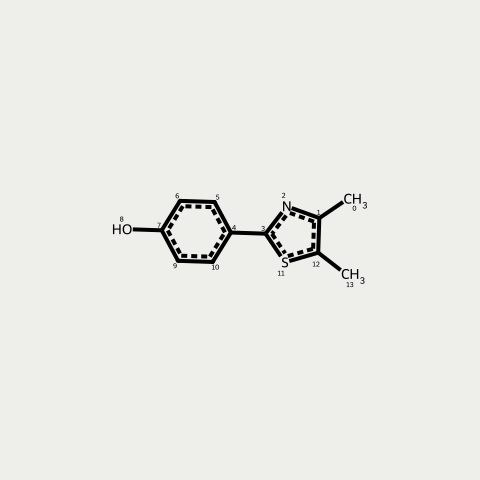 Cc1nc(-c2ccc(O)cc2)sc1C